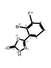 O=c1[nH]nc(-c2cccc(F)c2Br)o1